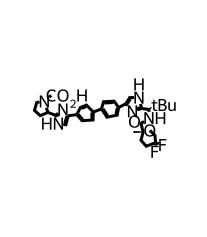 CC(C)(C)[C@H](NC(=O)[C@@]1(C)CCC(F)(F)CO1)c1nc(-c2ccc(-c3ccc(-c4c[nH]c(C5CCCN5C(=O)O)n4)cc3)cc2)c[nH]1